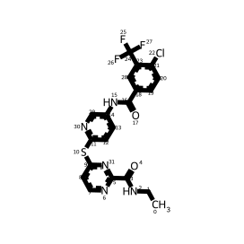 CCNC(=O)c1nccc(Sc2ccc(NC(=O)c3ccc(Cl)c(C(F)(F)F)c3)cn2)n1